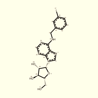 OC[C@H]1O[C@@H](n2cnc3c(NCc4cccc(I)c4)ncnc32)[C@@H](O)[C@@H]1O